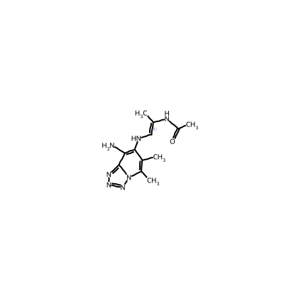 CC(=O)N/C(C)=C/Nc1c(C)c(C)n2nnnc2c1N